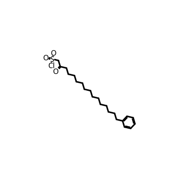 O=C(CCCCCCCCCCCCCCc1ccccc1)CS(=O)(=O)Cl